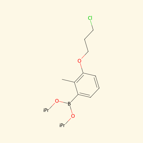 Cc1c(OCCCCl)cccc1B(OC(C)C)OC(C)C